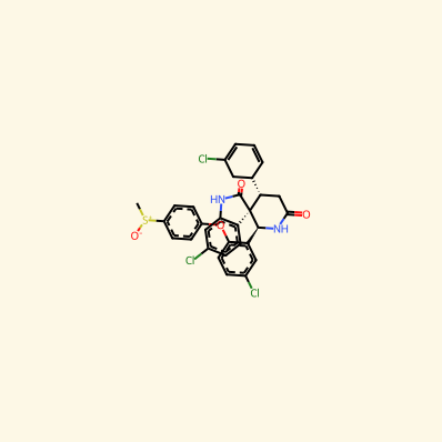 C[S+]([O-])c1ccc(Oc2ccc(Cl)cc2[C@@H]2NC(=O)C[C@@H](C3C=CC=C(Cl)C3)[C@]23C(=O)Nc2cc(Cl)ccc23)cc1